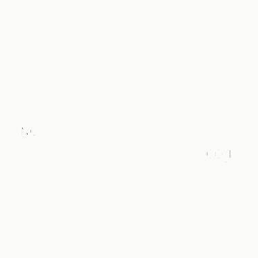 N#Cc1ccc(C(=O)CC(=O)O)cc1